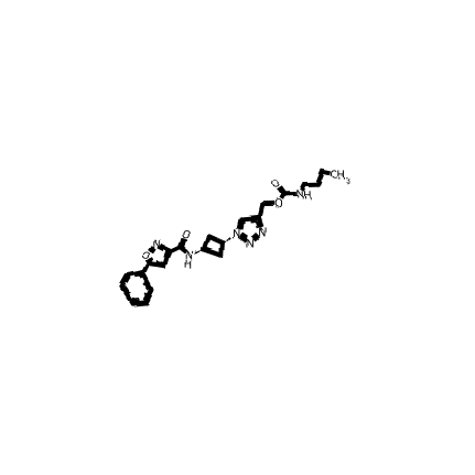 CCCCNC(=O)OCc1cn([C@H]2C[C@@H](NC(=O)c3cc(-c4ccccc4)on3)C2)nn1